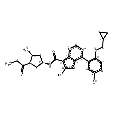 CCC(=O)N1C[C@H](NC(=O)c2c(C)[nH]c3c(-c4cc(C)ccc4OCC4CC4)ncnc23)C[C@@H]1C